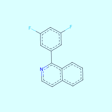 Fc1cc(F)cc(-c2nccc3ccccc23)c1